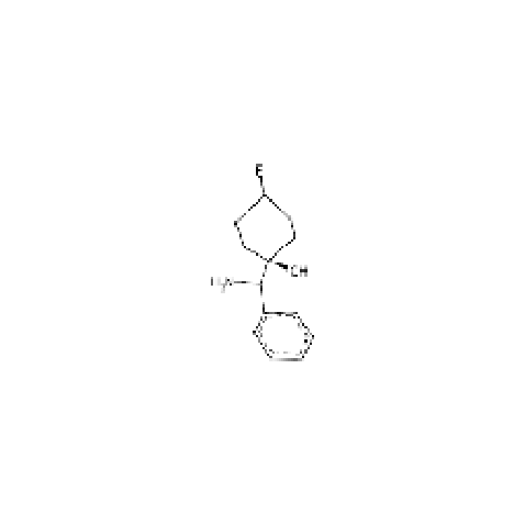 NC(c1ccccc1)[C@]1(O)CC[C@@H](F)CC1